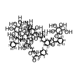 CC(c1ccccc1)[C@@H]([C]=O)NC(=O)CNC(=O)[C@H](CO)NC(=O)[C@@H](NC(=O)[C@@H](NC(=O)[C@@H](N)Cc1ccc2oc(-c3ccccc3OC3OC(CO)C(O)C(O)C3O)nc2c1)C(O)C1CNC(=N)N1)C(O)C1CN(Cc2ccccc2)C(=N)N1C1OC(CO)C(O)C(O)C1O